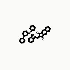 O=C1C(=Cc2sc(N(c3ccccc3)c3cccc(-c4ccccc4)c3)c3ccccc23)C(=O)c2cc3ccccc3cc21